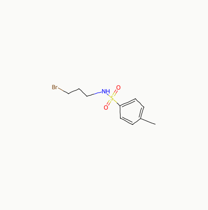 Cc1ccc(S(=O)(=O)NCCCBr)cc1